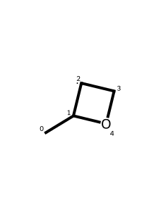 CC1[CH]CO1